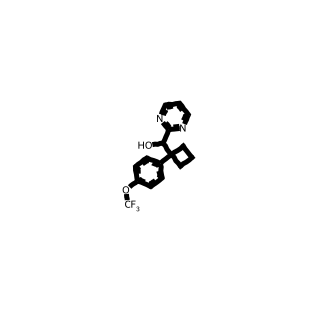 OC(c1ncccn1)C1(c2ccc(OC(F)(F)F)cc2)CCC1